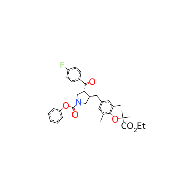 CCOC(=O)C(C)(C)Oc1c(C)cc(C[C@H]2CN(C(=O)Oc3ccccc3)C[C@@H]2C(=O)c2ccc(F)cc2)cc1C